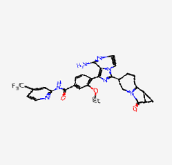 CCOc1cc(C(=O)Nc2cc(C(F)(F)F)ccn2)ccc1-c1nc(C2CCC3C4CC4C(=O)N3C2)n2ccnc(N)c12